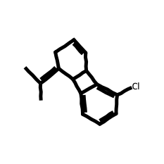 CC(C)=C1CC=CC2c3c(Cl)cccc3C12